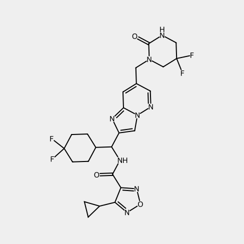 O=C(NC(c1cn2ncc(CN3CC(F)(F)CNC3=O)cc2n1)C1CCC(F)(F)CC1)c1nonc1C1CC1